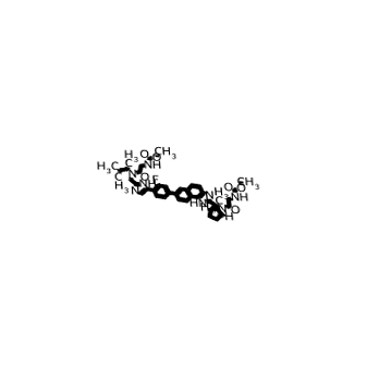 COC(=O)NCC(=O)N(Cc1ncc(-c2ccc(-c3ccc4c(ccc5nc([C@]6(C)[C@H]7CC[C@H](C7)N6C(=O)CNC(=O)OC)[nH]c54)c3)cc2F)[nH]1)C(C)C(C)C